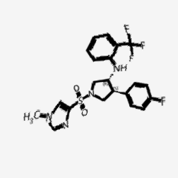 Cn1cnc(S(=O)(=O)N2C[C@H](Nc3ccccc3C(F)(F)F)[C@@H](c3ccc(F)cc3)C2)c1